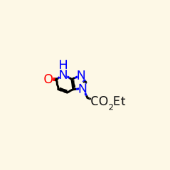 CCOC(=O)Cn1cnc2[nH]c(=O)ccc21